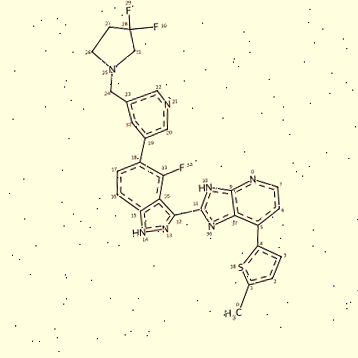 Cc1ccc(-c2ccnc3[nH]c(-c4n[nH]c5ccc(-c6cncc(CN7CCC(F)(F)C7)c6)c(F)c45)nc23)s1